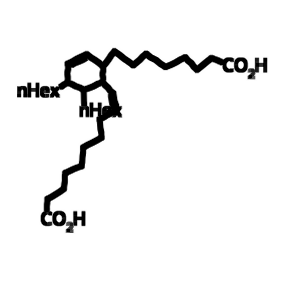 CCCCCCC1C=CC(CCCCCCCC(=O)O)C(/C=C\CCCCCCCC(=O)O)C1CCCCCC